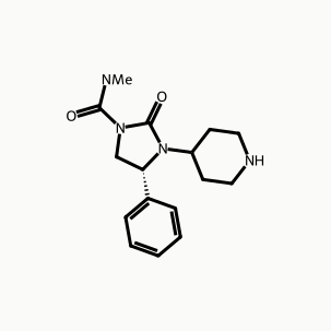 CNC(=O)N1C[C@@H](c2ccccc2)N(C2CCNCC2)C1=O